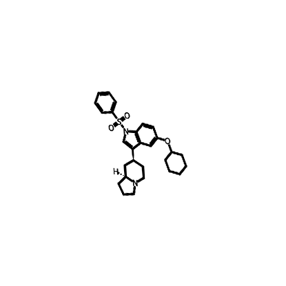 O=S(=O)(c1ccccc1)n1cc([C@H]2CCN3CCC[C@H]3C2)c2cc(OC3CCCCC3)ccc21